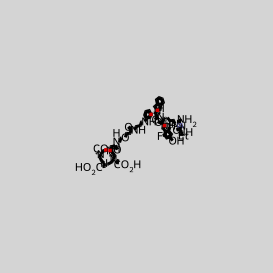 CCNC(=O)/N=C(/N)NCCC[C@@H](NC(=O)[C@H](c1cccc(NCCCNC(=O)CCOCCNC(=O)CN2CCN(CC(=O)O)CCN(CC(=O)O)CCN(CC(=O)O)CC2)c1)N1Cc2ccccc2C1)C(=O)NCc1c(F)cc(O)cc1F